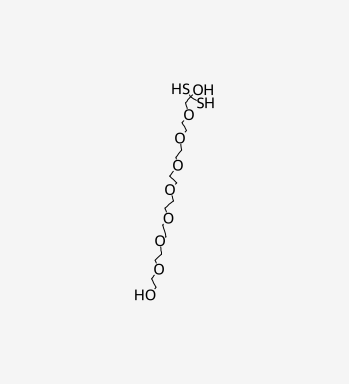 OCCOCCOCCOCCOCCOCCOCCOCC(O)(S)S